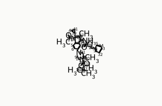 CC(=O)N1c2ccc(N3CCN(C(=O)OC(C)(C)C)[C@@H](C)C3)cc2[C@H](NC(=O)OCc2ccccc2)[C@@H](C)[C@@H]1C1CC1